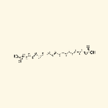 O=C(O)OCCCCCCCCC=CCCCCCCCCOC(=O)O